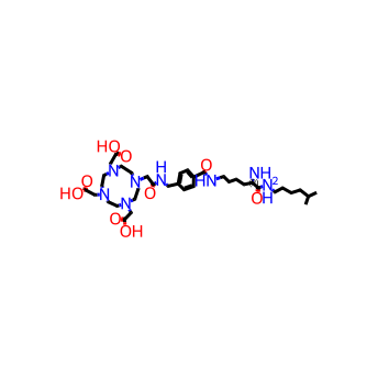 CC(C)CCCCNC(=O)[C@H](N)CCCCNC(=O)c1ccc(CNC(=O)CN2CCN(CC(=O)O)CCN(CC(=O)O)CCN(CC(=O)O)CC2)cc1